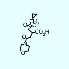 C1CC1.CS(=O)(=O)CC(CC(=O)N1CCOCC1)C(=O)O